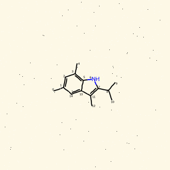 Cc1cc(C)c2[nH]c(C(C)C)c(C)c2c1